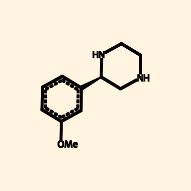 COc1cccc([C@@H]2CNCCN2)c1